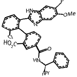 CCC[C@@H](NC(=O)c1ccc(-c2c(Cl)cccc2-c2nc3cc(OC)c(F)cc3[nH]2)c(C(=O)O)c1)c1ccccc1